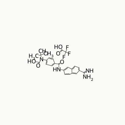 CC(C)(C)N(C(=O)O)c1ccc(C(=O)Nc2ccc3cc(C(=N)N)ccc3c2)cc1.O=C(O)C(F)(F)F